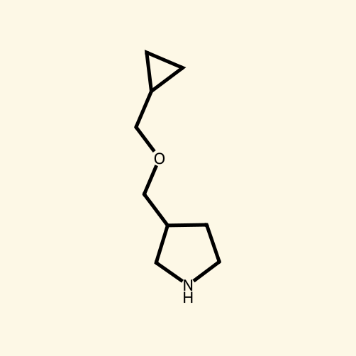 C1CC(COCC2CC2)CN1